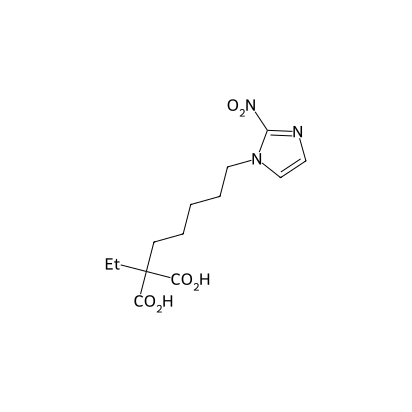 CCC(CCCCCn1ccnc1[N+](=O)[O-])(C(=O)O)C(=O)O